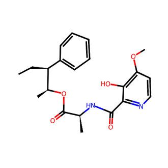 CC[C@@H](c1ccccc1)[C@H](C)OC(=O)[C@H](C)NC(=O)c1nccc(OC)c1O